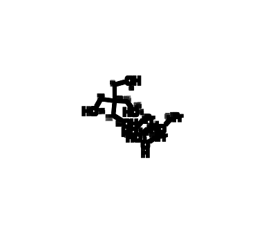 CC(C)O.CC(C)O.CC(C)O.CC(C)O.OCC(CO)(CO)CO